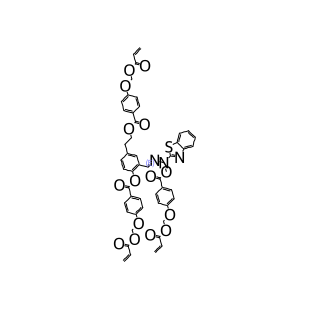 C=CC(=O)OCOc1ccc(C(=O)OCCc2ccc(OC(=O)c3ccc(OCOC(=O)C=C)cc3)c(/C=N/N(OC(=O)c3ccc(OCOC(=O)C=C)cc3)c3nc4ccccc4s3)c2)cc1